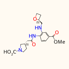 COC(=O)c1ccc(NC(=O)C[C@@H]2CCN(C(=O)O)C2)c(NC[C@@H]2CCO2)c1